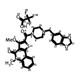 COc1c(C(=O)N2CCN(Cc3ccc4c(c3)OCO4)CC2)sc2c1c(=O)n(C)c1ccccc21.O=C(O)C(F)(F)F